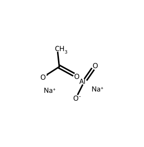 CC(=O)[O-].[Na+].[Na+].[O]=[Al][O-]